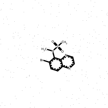 CN(c1c(Br)ccc2nccnc12)S(C)(=O)=O